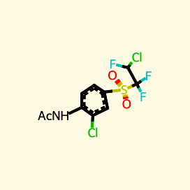 CC(=O)Nc1ccc(S(=O)(=O)C(F)(F)C(F)Cl)cc1Cl